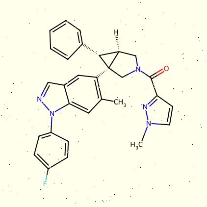 Cc1cc2c(cnn2-c2ccc(F)cc2)cc1[C@@]12CN(C(=O)c3ccn(C)n3)C[C@@H]1[C@H]2c1ccccc1